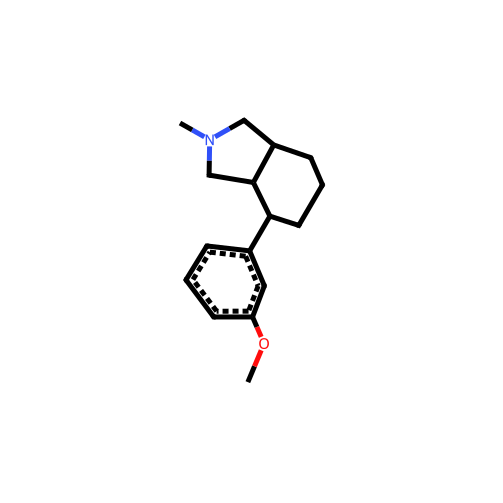 COc1cccc(C2CCCC3CN(C)CC32)c1